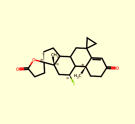 C[C@]12CCC(=O)C=C1C1(CC1)CC1C2[C@@H](F)C[C@@]2(C)C1CC[C@@]21CCC(=O)O1